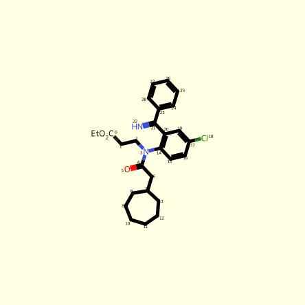 CCOC(=O)CCN(C(=O)CC1CCCCCC1)c1ccc(Cl)cc1C(=N)c1ccccc1